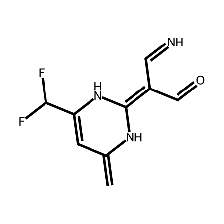 C=C1C=C(C(F)F)N/C(=C(\C=N)C=O)N1